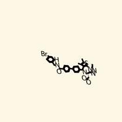 COC(=O)C[C@@H]1N=C(c2ccc(-c3ccc(C(=O)NCc4ccc(Br)cc4)cc3)cc2)c2c(sc(C)c2C)-n2c(C)nnc21